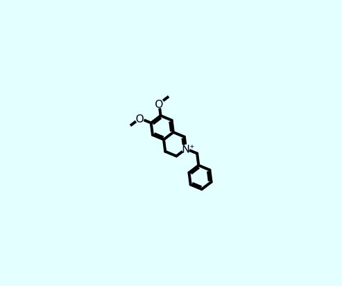 COc1cc2c(cc1OC)CC[N+](Cc1ccccc1)=C2